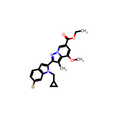 CCOC(=O)c1cc(OC)c2c(C)c(-c3cc4ccc(Br)cc4n3CC3CC3)nn2c1